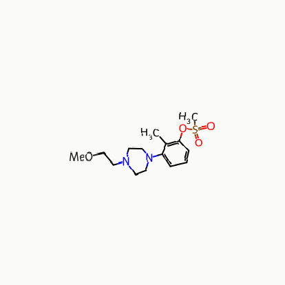 COCCN1CCN(c2cccc(OS(C)(=O)=O)c2C)CC1